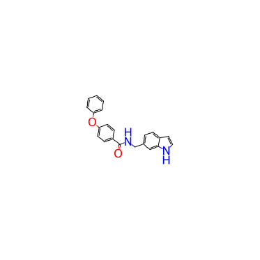 O=C(NCc1ccc2cc[nH]c2c1)c1ccc(Oc2ccccc2)cc1